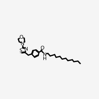 CCCCCCCCCCCCNC(=O)c1ccc(Cc2[c]sc(N3CCOCC3)n2)cc1